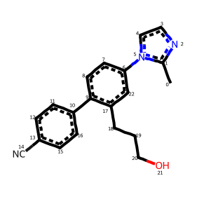 Cc1nccn1-c1ccc(-c2ccc(C#N)cc2)c(CCCO)c1